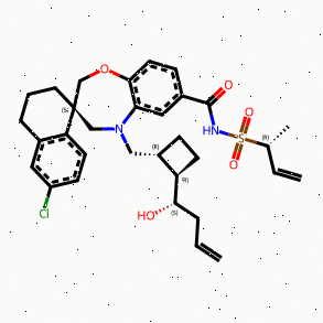 C=CC[C@H](O)[C@@H]1CC[C@H]1CN1C[C@@]2(CCCc3cc(Cl)ccc32)COc2ccc(C(=O)NS(=O)(=O)[C@H](C)C=C)cc21